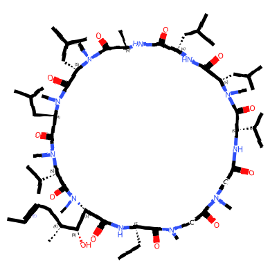 C/C=C/C[C@@H](C)[C@@H](O)[C@H]1C(=O)N[C@@H](CC)C(=O)N(C)CC(=O)N(C)CC(=O)N[C@@H](C(C)C)C(=O)N(C)[C@@H](CC(C)C)C(=O)N[C@@H](CC(C)C)C(=O)N[C@H](C)C(=O)N(C)[C@@H](CC(C)C)C(=O)N(C)[C@H](CC(C)C)C(=O)N(C)[C@@H](C(C)C)C(=O)N1C